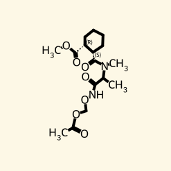 COC(=O)[C@@H]1CCCC[C@@H]1C(=O)N(C)C(C)C(=O)NOCOC(C)=O